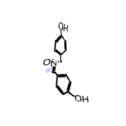 [O-]/[N+](=C/c1ccc(O)cc1)Cc1ccc(O)cc1